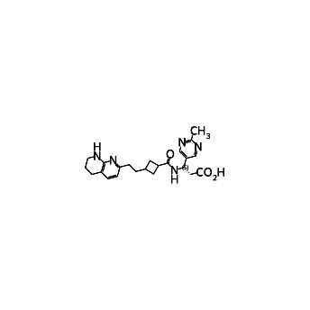 Cc1ncc([C@H](CC(=O)O)NC(=O)C2CC(CCc3ccc4c(n3)NCCC4)C2)cn1